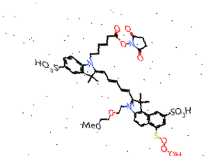 COCCOCC[N+]1=C(/C=C/C=C/C=C2/N(CCCCCC(=O)ON3C(=O)CCC3=O)c3ccc(S(=O)(=O)O)cc3C2(C)C)C(C)(C)c2c1ccc1c(SOOO)cc(S(=O)(=O)O)cc21